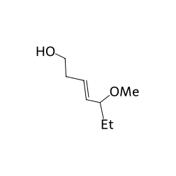 CCC(/C=C/CCO)OC